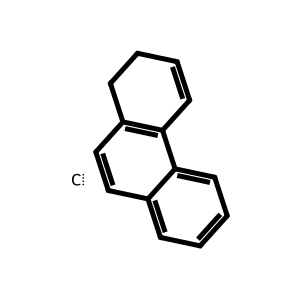 C1=Cc2c(ccc3ccccc23)CC1.[C]